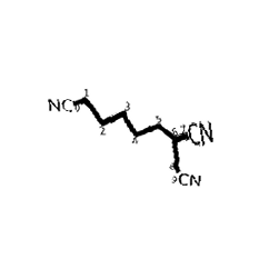 N#CCCCCCC(C#N)CC#N